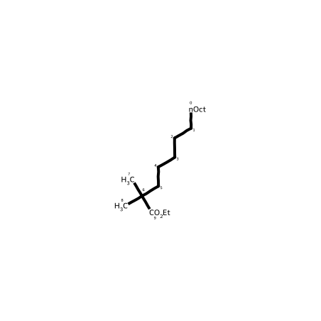 CCCCCCCCCCCCCC(C)(C)C(=O)OCC